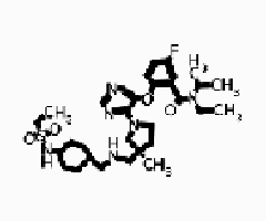 CCN(C(=O)c1cc(F)ccc1Oc1cncnc1N1CC[C@](C)(CNCC2CCC(NS(=O)(=O)CC)CC2)C1)C(C)C